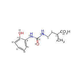 C=C(CCNC(=O)Nc1ccccc1O)C(=O)O